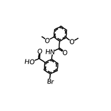 COc1cccc(OC)c1C(=O)Nc1ccc(Br)cc1C(=O)O